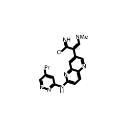 CN/C=C(\C(=N)Cl)c1cnc2ccc(Nc3cc(C(C)C)cnn3)nc2c1